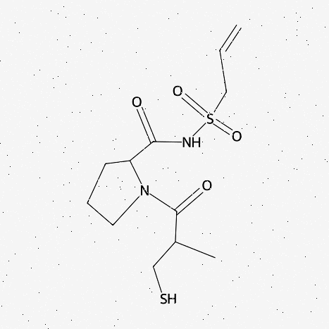 C=CCS(=O)(=O)NC(=O)C1CCCN1C(=O)C(C)CS